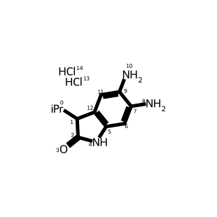 CC(C)C1C(=O)Nc2cc(N)c(N)cc21.Cl.Cl